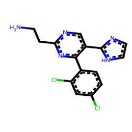 NCCc1ncc(-c2ncc[nH]2)c(-c2ccc(Cl)cc2Cl)n1